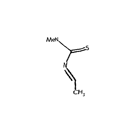 CC=NC(=S)NC